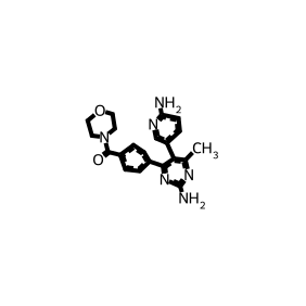 Cc1nc(N)nc(-c2ccc(C(=O)N3CCOCC3)cc2)c1-c1ccc(N)nc1